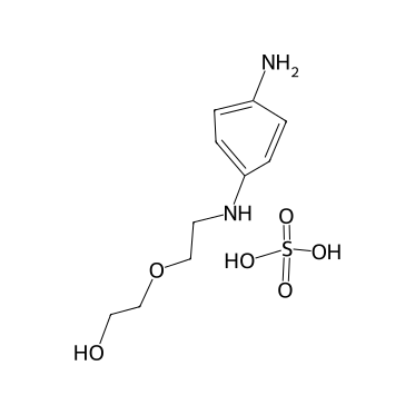 Nc1ccc(NCCOCCO)cc1.O=S(=O)(O)O